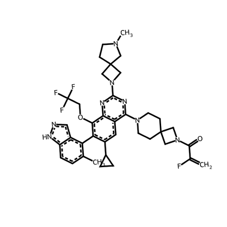 C=C(F)C(=O)N1CC2(CCN(c3nc(N4CC5(CCN(C)C5)C4)nc4c(OCC(F)(F)F)c(-c5c(C)ccc6[nH]ncc56)c(C5CC5)cc34)CC2)C1